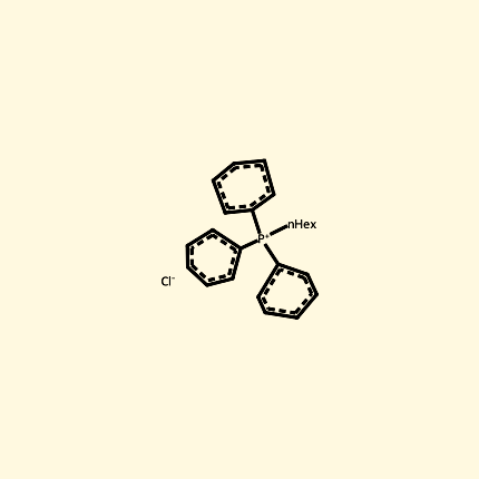 CCCCCC[P+](c1ccccc1)(c1ccccc1)c1ccccc1.[Cl-]